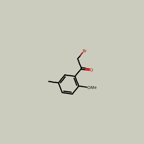 COc1ccc(C)cc1C(=O)CBr